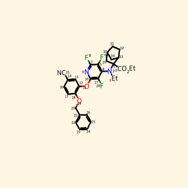 CCOC(=O)C1(N(CC)c2c(F)c(F)nc(Oc3cc(C#N)ccc3OCc3ccccc3)c2F)CC2CCC1C2